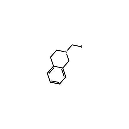 ICN1CCc2ccccc2C1